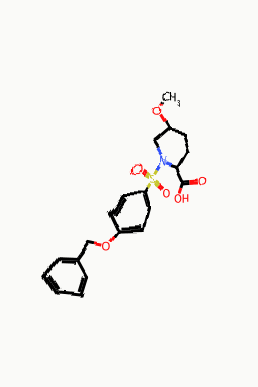 COC1CCC(C(=O)O)N(S(=O)(=O)c2ccc(OCc3ccccc3)cc2)C1